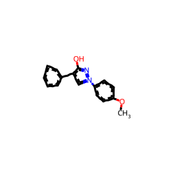 COc1ccc(-n2cc(-c3ccccc3)c(O)n2)cc1